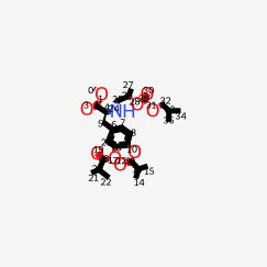 COC(=O)[C@H](Cc1ccc(OC(=O)C(C)C)c(OC(=O)C(C)C)c1)NCC(C)OC(=O)OCC(C)C